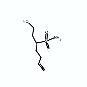 C=CCC[C@@H](CCO)S(N)(=O)=O